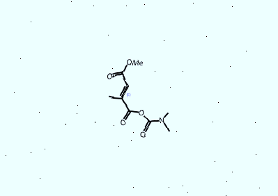 COC(=O)/C=C(\C)C(=O)OC(=O)N(C)C